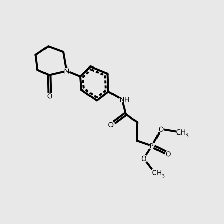 COP(=O)(CCC(=O)Nc1ccc(N2CCCCC2=O)cc1)OC